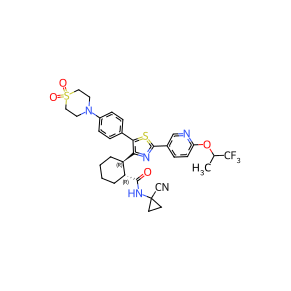 CC(Oc1ccc(-c2nc([C@@H]3CCCC[C@H]3C(=O)NC3(C#N)CC3)c(-c3ccc(N4CCS(=O)(=O)CC4)cc3)s2)cn1)C(F)(F)F